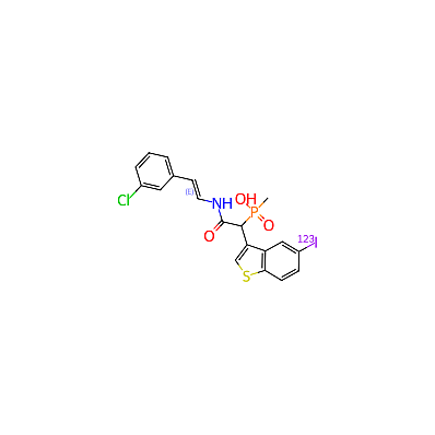 CP(=O)(O)C(C(=O)N/C=C/c1cccc(Cl)c1)c1csc2ccc([123I])cc12